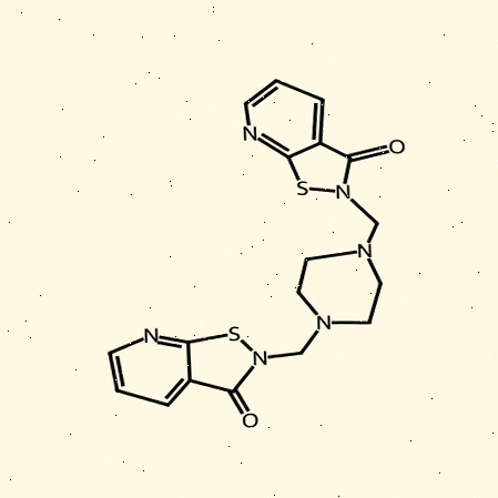 O=c1c2cccnc2sn1CN1CCN(Cn2sc3ncccc3c2=O)CC1